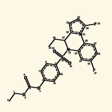 CCOC(=O)Oc1ccc(S(=O)(=O)N2c3cc(F)ccc3-n3c(F)ccc3C2CC)cc1